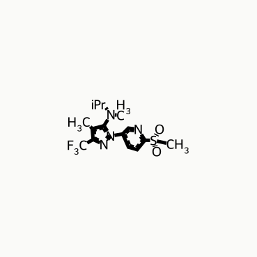 Cc1c(C(F)(F)F)nn(-c2ccc(S(C)(=O)=O)nc2)c1N(C)C(C)C